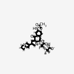 CS(=O)(=O)Nc1ccc2ccc3ncc(-c4cn5[n+](c4)CCC5)cc3c(=O)c2c1.O=C(O)C(F)(F)F.O=C([O-])C(F)(F)F